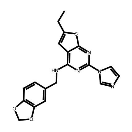 CCc1cc2c(NCc3ccc4c(c3)OCO4)nc(-n3ccnc3)nc2s1